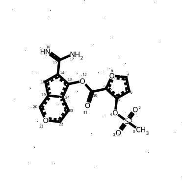 CS(=O)(=O)Oc1ccoc1C(=O)Oc1c(C(=N)N)cc2coccc1-2